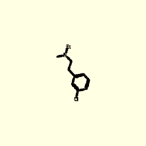 CCN(C)CCc1cccc(Cl)c1